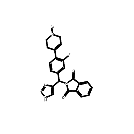 CC(=O)N1CC=C(c2ccc(C(c3c[nH]nn3)N3C(=O)c4ccccc4C3=O)cc2F)CC1